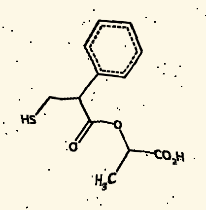 CC(OC(=O)C(CS)c1ccccc1)C(=O)O